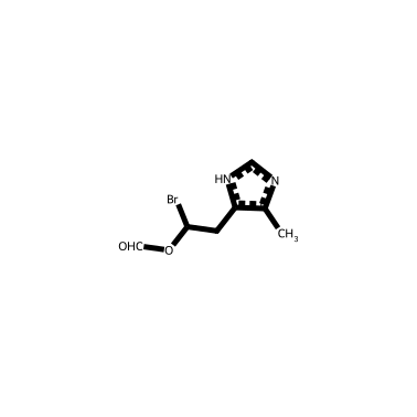 Cc1nc[nH]c1CC(Br)OC=O